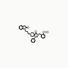 O=Cc1ccccc1CN1CN(c2ccccc2)C2(CCN(CCCN3C(=O)Cc4ccccc43)CC2)C1=O